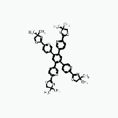 CC1(C)COC(c2ccc(-c3cc(-c4ccc(C5=NC(C)(C)CO5)nc4)c(-c4ccc(C5=NC(C)(C)CO5)nc4)cc3-c3ccc(C4=NC(C)(C)CO4)nc3)cn2)=N1